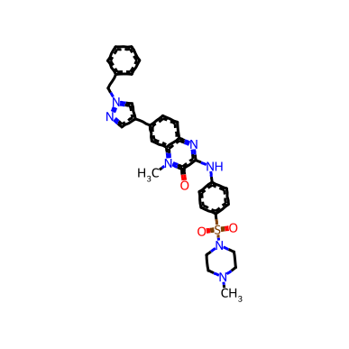 CN1CCN(S(=O)(=O)c2ccc(Nc3nc4ccc(-c5cnn(Cc6ccccc6)c5)cc4n(C)c3=O)cc2)CC1